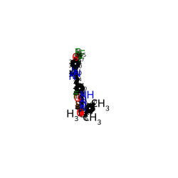 Cc1ccc(C(C)C)c(N2C(=O)CSC2=NC(=O)Nc2ccc(CCc3ncn(-c4ccc(OC(F)(F)F)cc4)n3)cc2F)c1